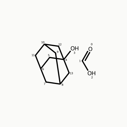 O=CO.OC12CC3CC(CC(C3)C1)C2